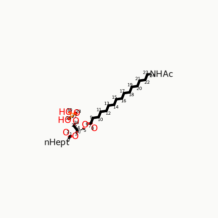 CCCCCCCC(=O)O[C@@H](COC(=O)CCCCCCCCCCCCCCCNC(C)=O)COP(=O)(O)O